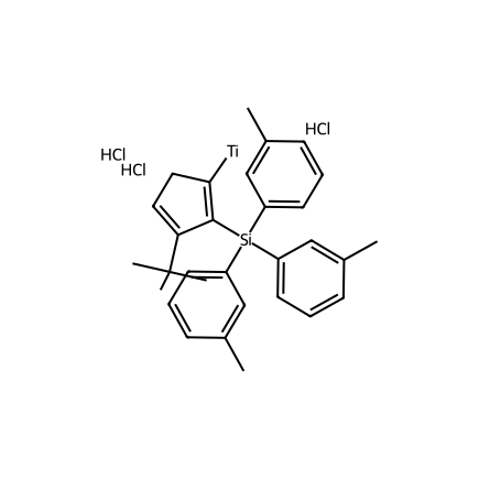 Cc1cccc([Si](C2=[C]([Ti])CC=C2C(C)(C)C)(c2cccc(C)c2)c2cccc(C)c2)c1.Cl.Cl.Cl